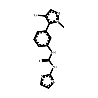 Cn1ncc(Br)c1-c1cccc(NC(=O)Nc2nccs2)c1